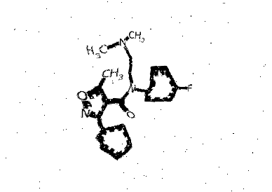 Cc1onc(-c2ccccc2)c1C(=O)N(CCN(C)C)c1ccc(F)cc1